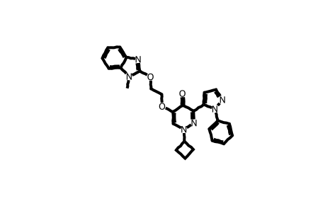 Cn1c(OCCOc2cn(C3CCC3)nc(-c3ccnn3-c3ccccc3)c2=O)nc2ccccc21